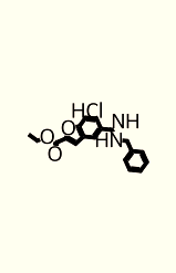 CCOC(=O)c1cc2cc(C(=N)NCc3ccccc3)ccc2o1.Cl